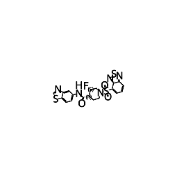 O=C(Nc1ccc2scnc2c1)[C@H]1CCN(S(=O)(=O)c2cccc3nsnc23)C[C@H]1F